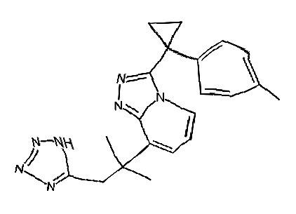 Cc1ccc(C2(c3nnc4c(C(C)(C)Cc5nnn[nH]5)cccn34)CC2)cc1